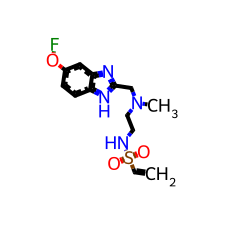 C=CS(=O)(=O)NCCN(C)Cc1nc2cc(OF)ccc2[nH]1